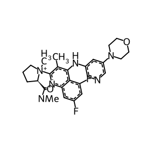 CNC(=O)[C@H]1CCC[N+]1(C)c1nc2cc(F)cc(F)c2c(Nc2cncc(N3CCOCC3)c2)c1C